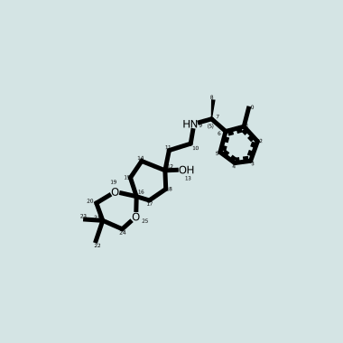 Cc1ccccc1[C@H](C)NCCC1(O)CCC2(CC1)OCC(C)(C)CO2